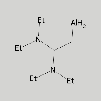 CCN(CC)C([CH2][AlH2])N(CC)CC